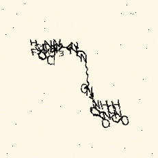 C[C@@H](Oc1cc(-c2cnn(C3CCN(CCCCCCCC(=O)N4CC(Nc5cccc6c5CN(C5CCC(=O)NC5=O)C6=O)C4)CC3)c2)cnc1N)c1c(Cl)ccc(F)c1Cl